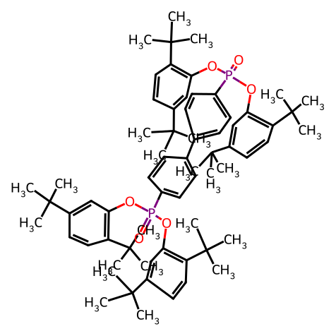 CC(C)(C)c1ccc(C(C)(C)C)c(OP(=O)(Oc2cc(C(C)(C)C)ccc2C(C)(C)C)c2ccc(-c3ccc(P(=O)(Oc4cc(C(C)(C)C)ccc4C(C)(C)C)Oc4cc(C(C)(C)C)ccc4C(C)(C)C)cc3)cc2)c1